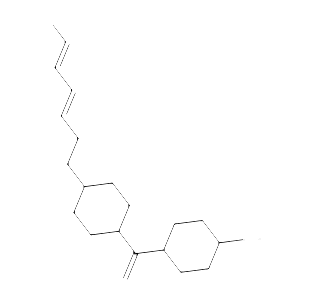 C=C(C1CCC(CCC=CC=CC#N)CC1)C1CCC(CCCCC)CC1